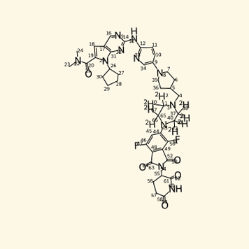 [2H]C1([2H])N(CC2CCN(c3ccc(Nc4ncc5cc(C(=O)N(C)C)n(C6CCCC6)c5n4)nc3)CC2)C([2H])([2H])C([2H])([2H])N(c2cc(F)c3c(c2F)C(=O)N(C2CCC(=O)NC2=O)C3=O)C1([2H])[2H]